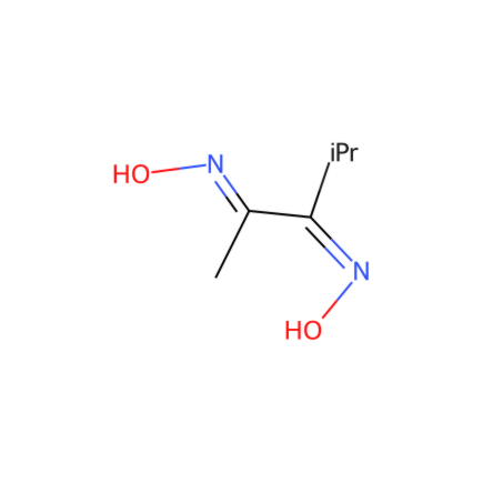 CC(=NO)C(=NO)C(C)C